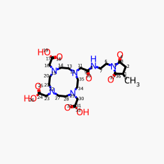 CC1CC(=O)N(CCNC(=O)CN2CCN(CC(=O)O)CCN(CC(=O)O)CCN(CC(=O)O)CC2)C1=O